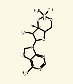 B[PH]1(O)OCC2OC(N3CNc4c(N)ncnc43)C(N)[C@@H]2O1